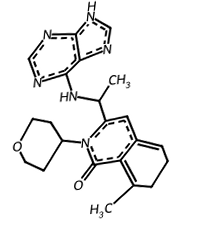 CC1=c2c(cc(C(C)Nc3ncnc4[nH]cnc34)n(C3CCOCC3)c2=O)=CCC1